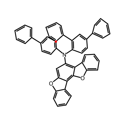 c1ccc(-c2ccc(N(c3ccc(-c4ccccc4)cc3-c3ccccc3)c3cc4oc5ccccc5c4c4oc5ccccc5c34)cc2)cc1